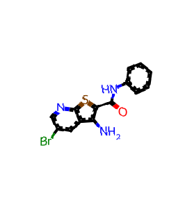 Nc1c(C(=O)Nc2ccccc2)sc2ncc(Br)cc12